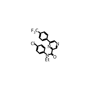 CCN(C(=O)c1cncc(-c2ccc(C(F)(F)F)cc2)n1)c1ccc(Cl)cc1